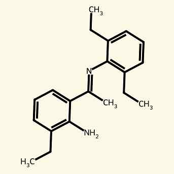 CCc1cccc(C(C)=Nc2c(CC)cccc2CC)c1N